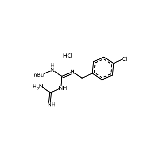 CCCCNC(=NCc1ccc(Cl)cc1)NC(=N)N.Cl